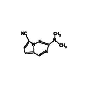 CN(C)c1ncc2ccc(C#N)n2n1